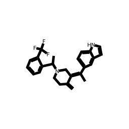 C=C1CCN(C(C)c2ccccc2C(F)(F)F)C/C1=C(/C)c1ccc2[nH]ccc2c1